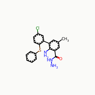 Cc1cc(C(=O)NN)c(N)c(-c2cc(Cl)ccc2Sc2ccccc2)c1